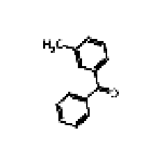 Cc1[c]ccc(C(=O)c2ccccc2)c1